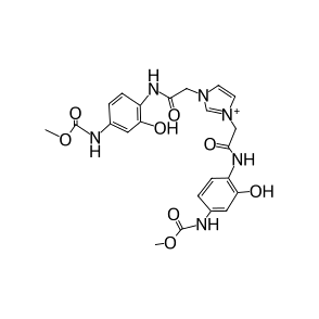 COC(=O)Nc1ccc(NC(=O)Cn2cc[n+](CC(=O)Nc3ccc(NC(=O)OC)cc3O)c2)c(O)c1